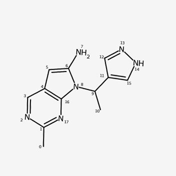 Cc1ncc2cc(N)n(C(C)c3cn[nH]c3)c2n1